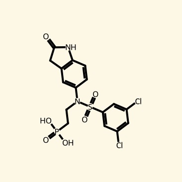 O=C1Cc2cc(N(CCP(=O)(O)O)S(=O)(=O)c3cc(Cl)cc(Cl)c3)ccc2N1